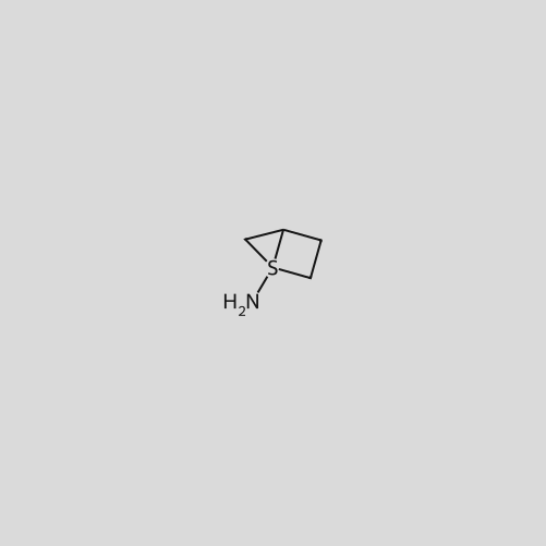 NS12CCC1C2